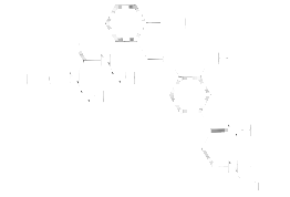 Cc1cc(C(=N)/C=C\NC(C)C)ccc1OCc1c(C)cccc1N(N)C(=O)N(C)N